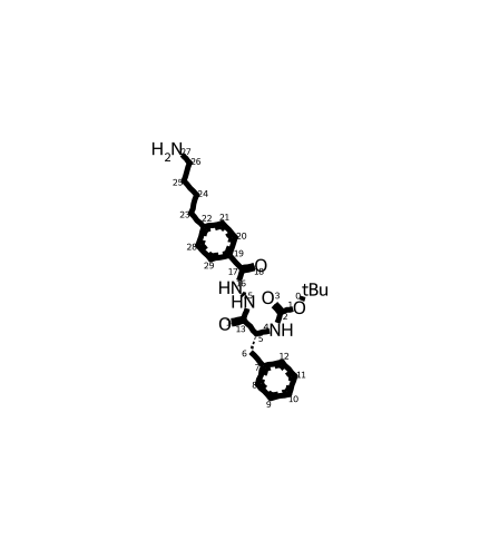 CC(C)(C)OC(=O)N[C@H](Cc1ccccc1)C(=O)NNC(=O)c1ccc(CCCCN)cc1